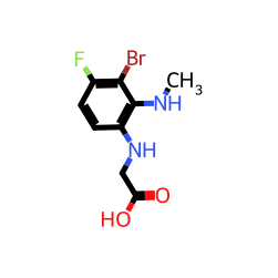 CNc1c(NCC(=O)O)ccc(F)c1Br